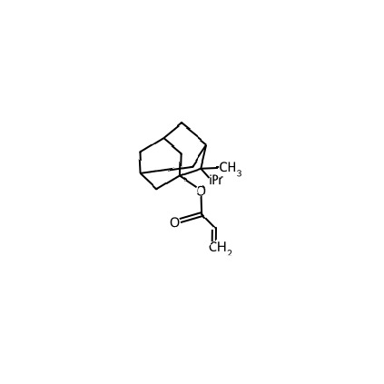 C=CC(=O)OC12CC3CC(CC(C3)C1(C)C(C)C)C2